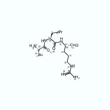 CC[C@H](C)[C@H](N)C(=O)N[C@@H](CC(C)C)C(=O)N[C@H]([C]=O)CCCNC(=N)N